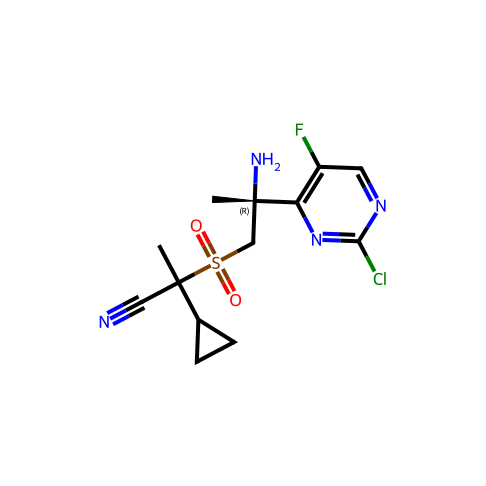 CC(C#N)(C1CC1)S(=O)(=O)C[C@](C)(N)c1nc(Cl)ncc1F